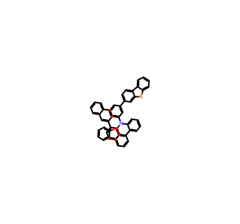 c1cc(-c2ccc3c(c2)sc2ccccc23)cc(N(c2ccccc2-c2ccc3ccccc3c2)c2ccccc2-c2cccc3c2oc2ccccc23)c1